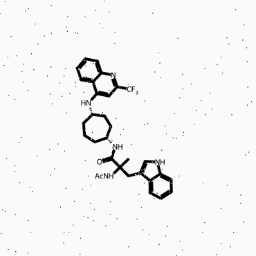 CC(=O)NC(C)(Cc1c[nH]c2ccccc12)C(=O)N[C@@H]1CCC[C@H](Nc2cc(C(F)(F)F)nc3ccccc23)CC1